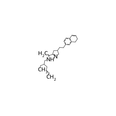 C=CCCC(CC)CNC(=C)C1=NCC(CCc2ccc3c(c2)CCC=C3)C1